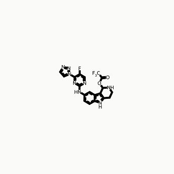 O=C(OC1NCCc2[nH]c3ccc(Nc4ncc(F)c(-n5ccnn5)n4)cc3c21)C(F)(F)F